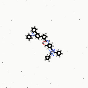 c1ccc(-c2nc(-c3ccccc3)nc(-c3ccc4c(c3)COC(c3cccc(-c5ccc6c(c5)c5ccccc5n6-c5ccccc5)c3)=N4)n2)cc1